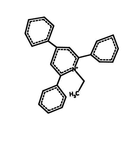 CC[n+]1c(-c2ccccc2)cc(-c2ccccc2)cc1-c1ccccc1